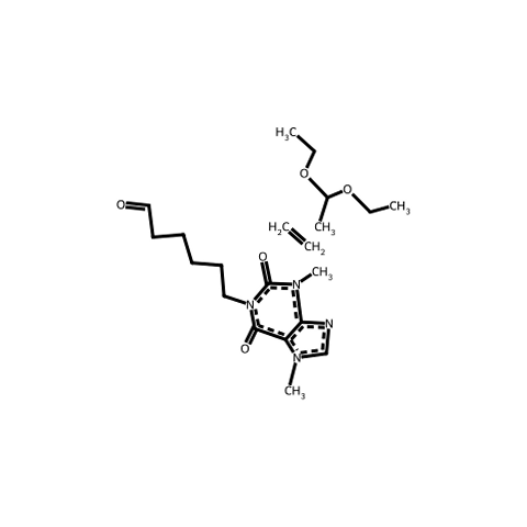 C=C.CCOC(C)OCC.Cn1cnc2c1c(=O)n(CCCCCC=O)c(=O)n2C